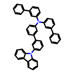 c1ccc(-c2cccc(N(c3cccc(-c4ccccc4)c3)c3cccc(-c4cccc(-n5c6ccccc6c6ccccc65)c4)c3)c2)cc1